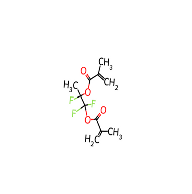 C=C(C)C(=O)OC(C)(F)C(F)(F)OC(=O)C(=C)C